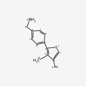 CC(=O)c1csc(-c2ccc(CN)cc2)c1C